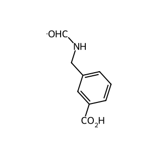 O=[C]NCc1cccc(C(=O)O)c1